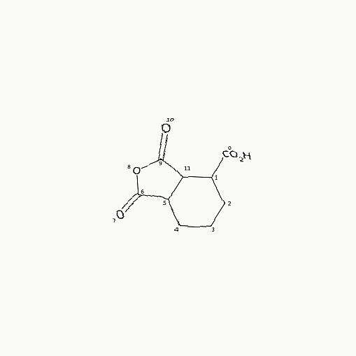 O=C(O)C1CCCC2C(=O)OC(=O)C12